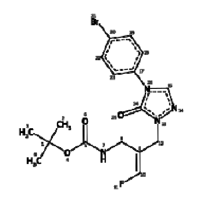 CC(C)(C)OC(=O)NC/C(=C\F)Cn1ncn(-c2ccc(Br)cc2)c1=O